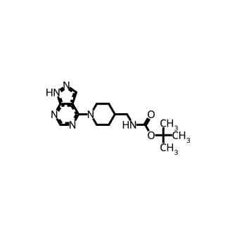 CC(C)(C)OC(=O)NCC1CCN(c2ncnc3[nH]ncc23)CC1